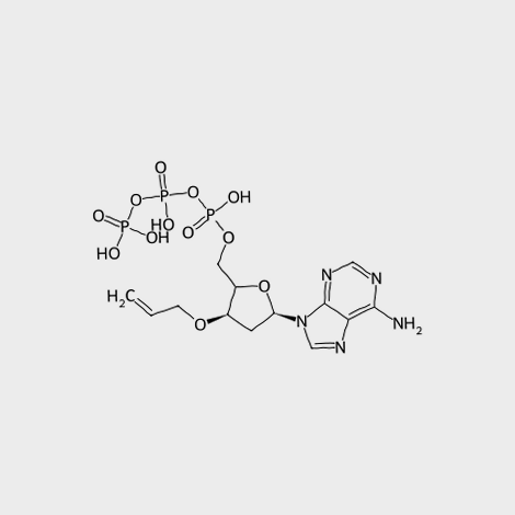 C=CCO[C@@H]1C[C@H](n2cnc3c(N)ncnc32)OC1COP(=O)(O)OP(=O)(O)OP(=O)(O)O